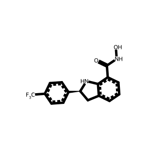 O=C(NO)c1cccc2c1N[C@H](c1ccc(C(F)(F)F)cc1)C2